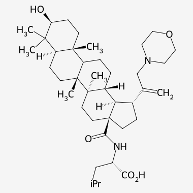 C=C(CN1CCOCC1)[C@@H]1CC[C@]2(C(=O)N[C@@H](CC(C)C)C(=O)O)CC[C@]3(C)[C@H](CCC4[C@@]5(C)CC[C@H](O)C(C)(C)[C@@H]5CC[C@]43C)[C@@H]12